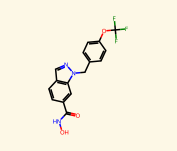 O=C(NO)c1ccc2cnn(Cc3ccc(OC(F)(F)F)cc3)c2c1